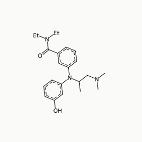 CCN(CC)C(=O)c1cccc(N(c2cccc(O)c2)C(C)CN(C)C)c1